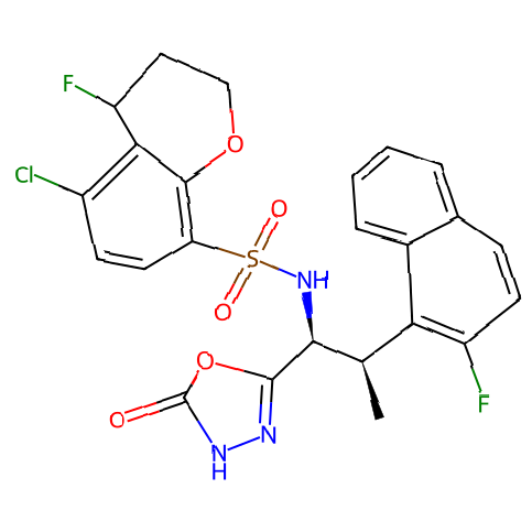 C[C@H](c1c(F)ccc2ccccc12)[C@H](NS(=O)(=O)c1ccc(Cl)c2c1OCCC2F)c1n[nH]c(=O)o1